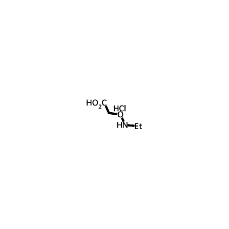 CCNOCC(=O)O.Cl